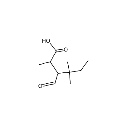 CCC(C)(C)C(C=O)C(C)C(=O)O